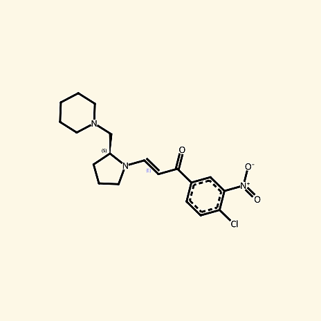 O=C(/C=C/N1CCC[C@H]1CN1CCCCC1)c1ccc(Cl)c([N+](=O)[O-])c1